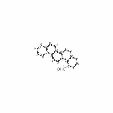 O=Cc1cccc2ccc3c4ccc5ccccc5c4ccc3c12